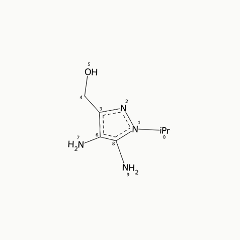 CC(C)n1nc(CO)c(N)c1N